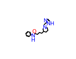 O=C(CCCC1CCCN(Cc2ncc[nH]2)C1)Nc1ccccc1